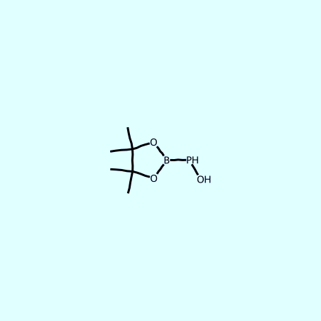 CC1(C)OB(PO)OC1(C)C